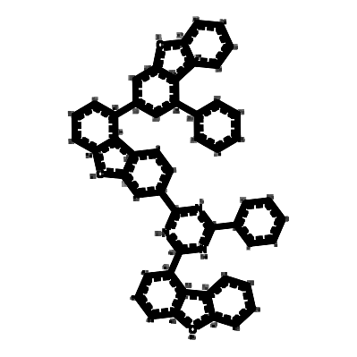 c1ccc(-c2nc(-c3ccc4c(c3)oc3cccc(-c5cc(-c6ccccc6)c6c(c5)oc5ccccc56)c34)nc(-c3cccc4oc5ccccc5c34)n2)cc1